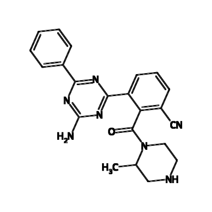 CC1CNCCN1C(=O)c1c(C#N)cccc1-c1nc(N)nc(-c2ccccc2)n1